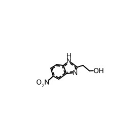 O=[N+]([O-])c1ccc2[nH]c(CCO)nc2c1